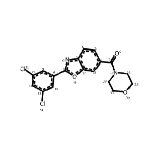 O=C(c1ccc2nc(-c3cc(Cl)cc(Cl)c3)oc2c1)N1CCOCC1